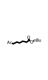 CCCCOC(=O)CCCCCC(C)=O